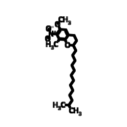 COc1cc2c(c(C)c1[N+](=O)[O-])OC(CCCCCCCCCCCC(C)C)CC2